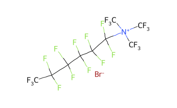 FC(F)(F)C(F)(F)C(F)(F)C(F)(F)C(F)(F)C(F)(F)[N+](C(F)(F)F)(C(F)(F)F)C(F)(F)F.[Br-]